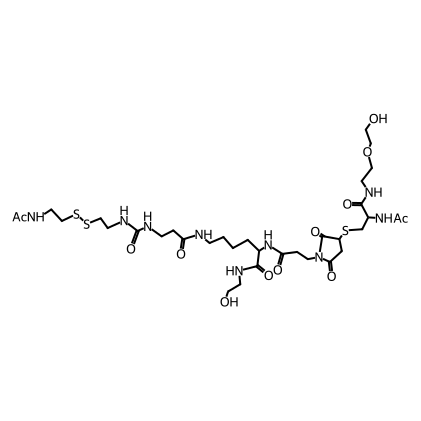 CC(=O)NCCSSCCNC(=O)NCCC(=O)NCCCCC(NC(=O)CCN1C(=O)CC(SCC(NC(C)=O)C(=O)NCCOCCO)C1=O)C(=O)NCCO